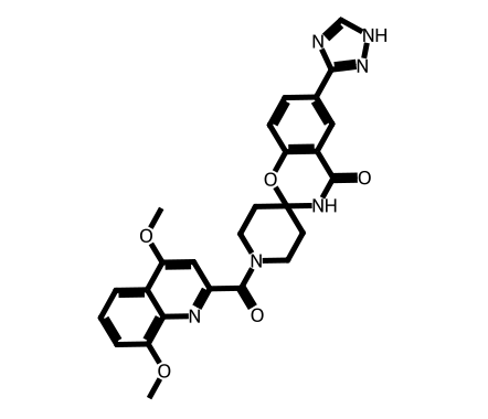 COc1cc(C(=O)N2CCC3(CC2)NC(=O)c2cc(-c4nc[nH]n4)ccc2O3)nc2c(OC)cccc12